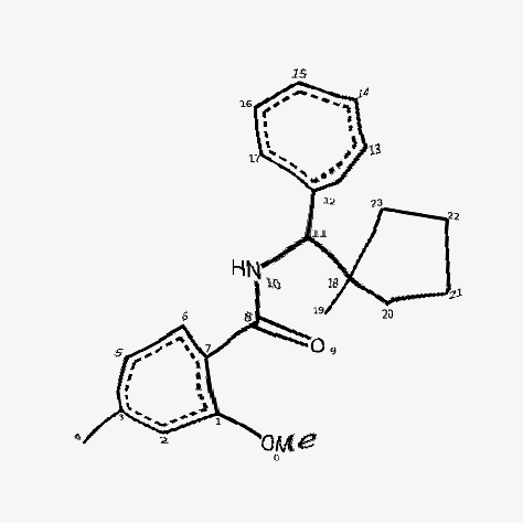 COc1cc(C)ccc1C(=O)NC(c1ccccc1)C1(C)CCCC1